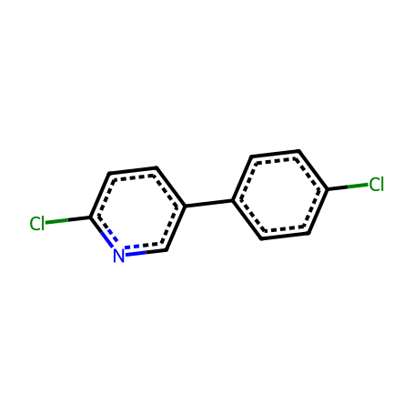 Clc1ccc(-c2ccc(Cl)nc2)cc1